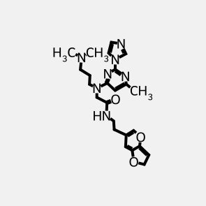 Cc1cc(N(CCCN(C)C)CC(=O)NCCC2=COC3=CCOC3=C2)nc(-n2ccnc2)n1